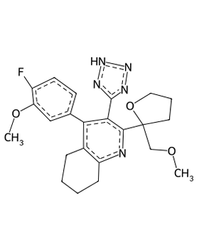 COCC1(c2nc3c(c(-c4ccc(F)c(OC)c4)c2-c2nn[nH]n2)CCCC3)CCCO1